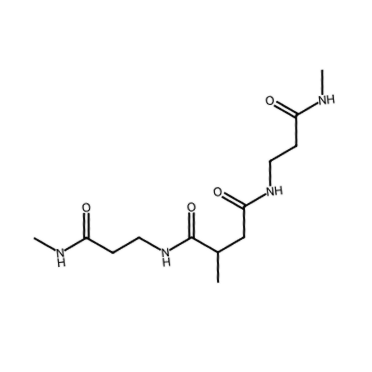 CNC(=O)CCNC(=O)CC(C)C(=O)NCCC(=O)NC